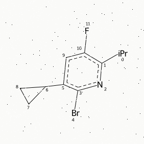 CC(C)c1nc(Br)c(C2CC2)cc1F